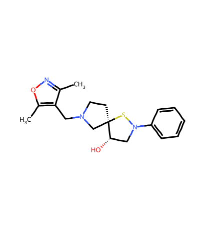 Cc1noc(C)c1CN1CC[C@]2(C1)SN(c1ccccc1)C[C@@H]2O